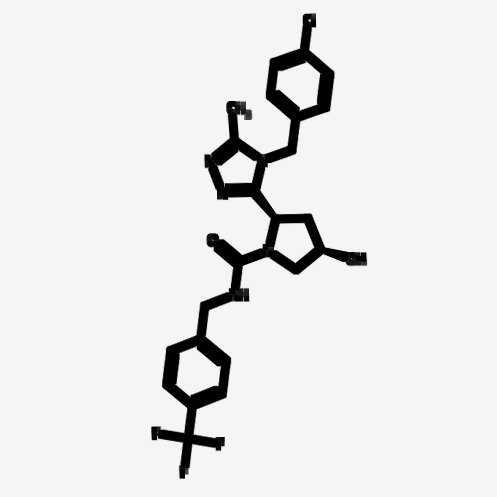 Cc1nnc([C@H]2C[C@@H](O)CN2C(=O)NCc2ccc(C(F)(F)F)cc2)n1Cc1ccc(Cl)cc1